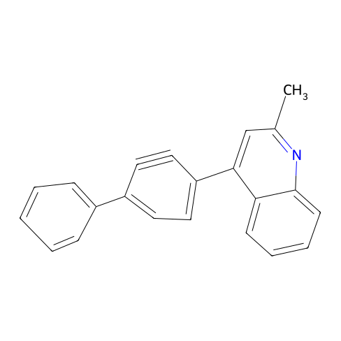 Cc1cc(-c2c#cc(-c3ccccc3)cc2)c2ccccc2n1